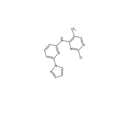 FC(F)(F)c1cnc(Cl)nc1Nc1cccc(-n2cccn2)n1